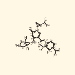 C[C@@H](NC(=O)c1cn([C@@H]2C[C@H]2C(F)F)c(=O)cc1N[C@@H]1[C@@H]2CN(C)C[C@@H]21)c1cccc(C(F)F)c1F